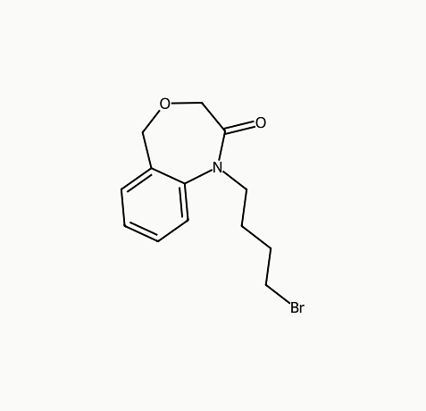 O=C1COCc2ccccc2N1CCCCBr